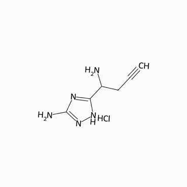 C#CCC(N)c1nc(N)n[nH]1.Cl